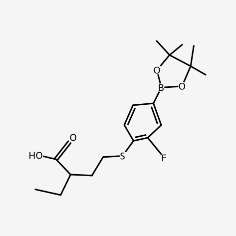 CCC(CCSc1ccc(B2OC(C)(C)C(C)(C)O2)cc1F)C(=O)O